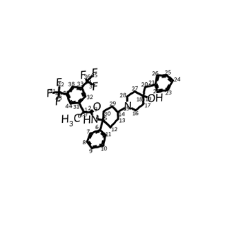 C[C@H](C(=O)NC1(c2ccccc2)CCC(N2CCC(O)(Cc3ccccc3)CC2)CC1)c1cc(C(F)(F)F)cc(C(F)(F)F)c1